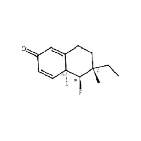 CC[C@@]1(C)CCC2=CC(=O)C=C[C@]2(C)[C@@H]1F